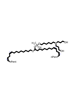 CCCCC/C=C\C/C=C\CCCCCCCCOC(CCCCCCC/C=C\C/C=C\CCCCC)O[Si](C)(C)OCCCCCCN(CCCO)CCCO